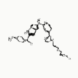 C=CCOCCOc1ccnc(-c2ccnc(Nc3ccc4[nH]c(C(=O)N5CCN(C)CC5)cc4c3)n2)c1